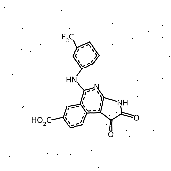 O=C1Nc2nc(Nc3cccc(C(F)(F)F)c3)c3cc(C(=O)O)ccc3c2C1=O